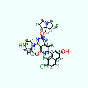 Oc1cc(-c2nc3c4c(nc(OC[C@@]56CCCN5C[C@H](F)C6)nc4c2F)N2CCNC[C@H]2CO3)c2c(F)c(Cl)ccc2c1